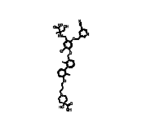 Cc1c(COc2cc(OCc3cncc(C#N)c3)c(CNC(C)(CO)C(=O)O)cc2Cl)cccc1-c1cccc(OCCCN2CCC(O)(C(=O)O)CC2)c1C